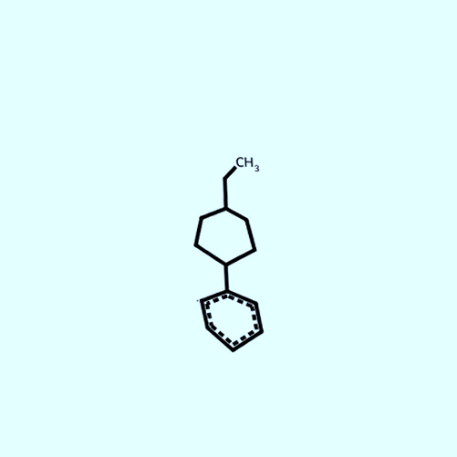 CCC1CCC(c2[c]cccc2)CC1